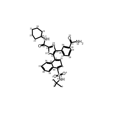 CC(C)(C)NS(=O)(=O)c1ccc(-c2sc(C(=O)NC3CCCCC3)nc2-c2cccc(C(N)=O)c2)c2ccccc12